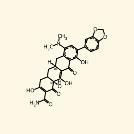 CN(C)c1cc(-c2ccc3c(c2)OCO3)c(O)c2c1C[C@H]1CC3CC(O)=C(C(N)=O)C(=O)[C@@]3(O)C(O)=C1C2=O